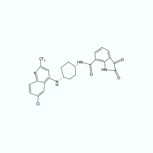 O=C1Nc2c(C(=O)N[C@H]3CC[C@@H](Nc4cc(C(F)(F)F)nc5ccc(Cl)cc45)CC3)cccc2C1=O